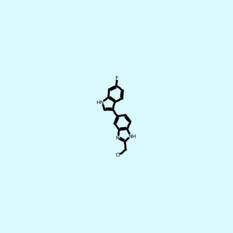 Fc1ccc2c(-c3ccc4[nH]c(CCl)nc4c3)c[nH]c2c1